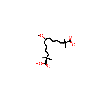 COC(CCCCC(C)(C)C(=O)O)CCCCC(C)(C)C(=O)O